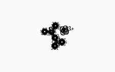 [O-][Cl+3]([O-])([O-])[O-].c1ccc(-c2cc(-c3ccc(N(c4ccccc4)c4ccccc4)cc3)cc(-c3ccccc3)[s+]2)cc1